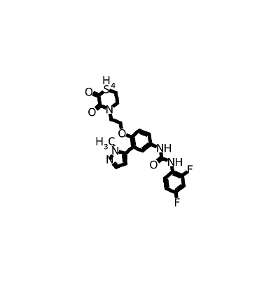 Cn1nccc1-c1cc(NC(=O)Nc2ccc(F)cc2F)ccc1OCCN1CC[SH4]C(=O)C1=O